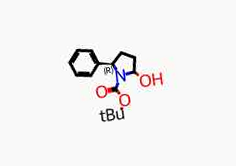 CC(C)(C)OC(=O)N1C(O)CC[C@@H]1c1ccccc1